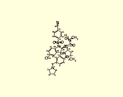 COc1ccc(CN2CCCC2)cc1C1(N2CCC[C@@H]2OC(=O)N(C)C)C(=O)N(S(=O)(=O)c2ccc(C#N)cc2)c2ccc(Cl)cc21